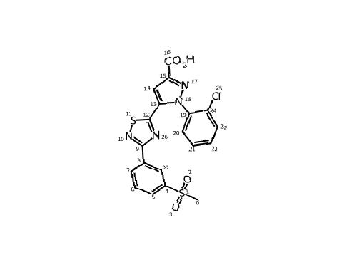 CS(=O)(=O)c1cccc(-c2nsc(-c3cc(C(=O)O)nn3-c3ccccc3Cl)n2)c1